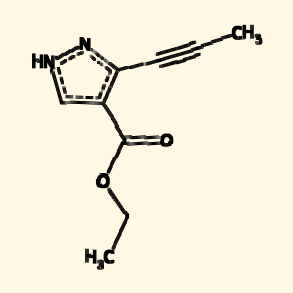 CC#Cc1n[nH]cc1C(=O)OCC